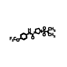 C=C(C)S(=O)(=O)N1CC[C@@H](C(=O)Nc2ccc(OC(F)(F)F)cc2)C1